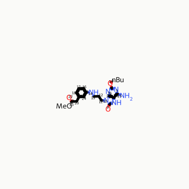 CCCCOc1nc(N)c2[nH]c(=O)n(CCCNc3cccc(CC(=O)OC)c3)c2n1